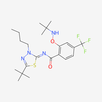 CCCCn1nc(C(C)(C)C)sc1=NC(=O)c1ccc(C(F)(F)F)cc1ONC(C)(C)C